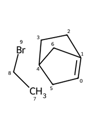 C1=C2CCC(C1)C2.CCBr